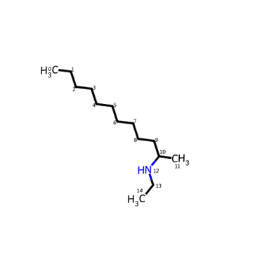 CCCCCCCCCCC(C)NCC